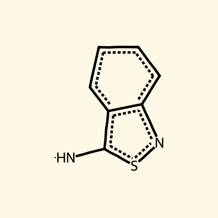 [NH]c1snc2ccccc12